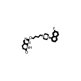 O=C1CCc2cnc(OCCCCN3CCN(c4cccc5ccc(F)cc45)CC3)nc2N1